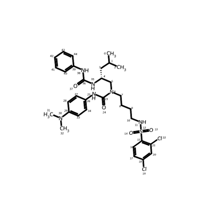 CC(C)C[C@H](CN(CCCCNS(=O)(=O)c1ccc(Cl)cc1Cl)C(=O)Nc1ccc(N(C)C)cc1)NC(=O)Nc1ccccc1